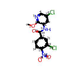 COc1ncc(Cl)cc1NC(=O)c1ccc([N+](=O)[O-])c(Cl)c1